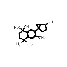 Cc1cc2c(cc1C13CCC(O)C1C3)C(C)(C)CCC2(C)C